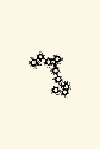 c1ccc(N(c2ccc(-c3ccc(-n4c5ccccc5c5cc(-c6cccc7c6oc6ccccc67)ccc54)cc3)cc2)c2cccc3ccccc23)cc1